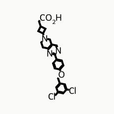 O=C(O)CC1CC(N2CCc3nc(-c4ccc(OCc5cc(Cl)cc(Cl)c5)cc4)ncc3C2)C1